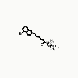 CC(C)(C)CNC(=O)/C=C/C=C/Cc1ccc2c(Br)cccc2c1